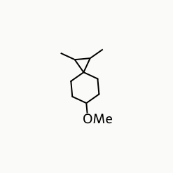 COC1CCC2(CC1)C(C)C2C